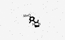 COc1ccc(-c2nccnc2C)c(C)c1